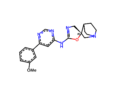 COc1cccc(-c2cc(NC3=NC[C@@]4(CN5CCC4CC5)O3)ncn2)c1